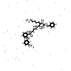 NCCCCC(NC(=O)OCc1ccccc1)C(=O)NCCCNC(=O)c1ccccc1Nc1cccc(C(F)(F)F)c1